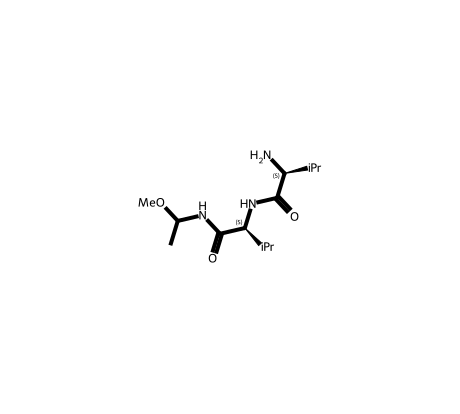 COC(C)NC(=O)[C@@H](NC(=O)[C@@H](N)C(C)C)C(C)C